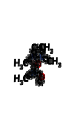 Cc1ccc(N(c2ccc(C)cc2)c2cc3c4c(c2)N(c2ccc(C)cc2)c2ccc(C)cc2B4c2ccc(N(c4ccc(C)cc4)c4ccc5oc6ccccc6c5c4)cc2O3)cc1